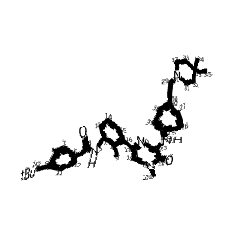 Cc1c(NC(=O)c2ccc(C(C)(C)C)cc2)cccc1-c1cn(C)c(=O)c(Nc2ccc(CN3CCC(C)(C)CC3)cc2)n1